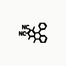 Cc1c(C#N)c(C#N)c(C)c2c1C(C)c1ccccc1C2c1ccccc1